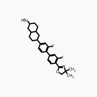 CCCCC1CCC2CC(c3ccc(-c4ccc(C5=NC(C)(C)CO5)c(F)c4)c(F)c3)CCC2C1